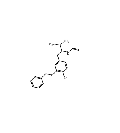 CC(C)C(Cc1ccc(Br)c(OCc2ccccc2)c1)NC=O